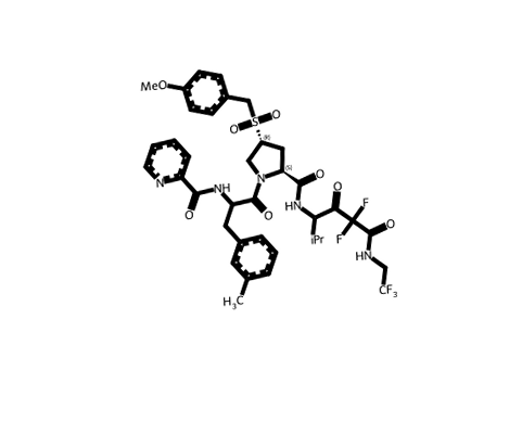 COc1ccc(CS(=O)(=O)[C@@H]2C[C@@H](C(=O)NC(C(=O)C(F)(F)C(=O)NCC(F)(F)F)C(C)C)N(C(=O)C(Cc3cccc(C)c3)NC(=O)c3ccccn3)C2)cc1